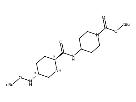 CCCCON[C@@H]1CC[C@@H](C(=O)NC2CCN(C(=O)OC(C)(C)C)CC2)NC1